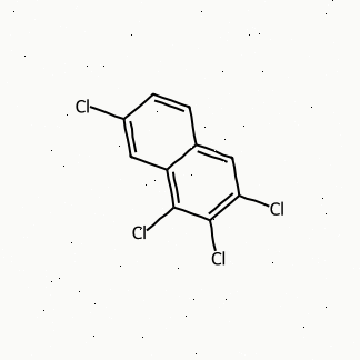 Clc1ccc2cc(Cl)c(Cl)c(Cl)c2c1